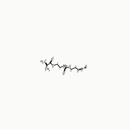 C=C(C)C(=O)OCCNC(=O)OCCN=[N+]=[N-]